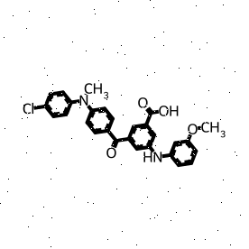 COc1cccc(Nc2cc(C(=O)O)cc(C(=O)c3ccc(N(C)c4ccc(Cl)cc4)cc3)c2)c1